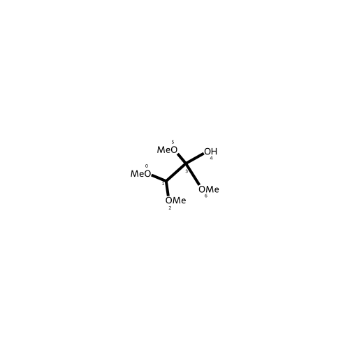 CO[C](OC)C(O)(OC)OC